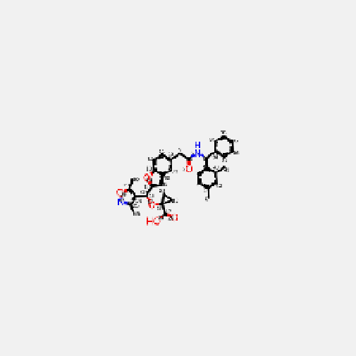 Cc1ccc([C@@H](NC(=O)Cc2ccc3oc([C@@H](OC4(C(=O)O)CC4)c4c(C)noc4C)cc3c2)c2ccccc2)c(C)c1